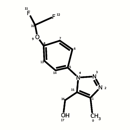 Cc1nnn(-c2ccc(OC(F)F)cc2)c1CO